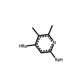 Cc1n[c]([RaH])c[c]([RaH])c1C